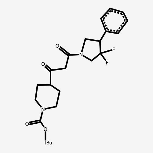 CC(C)(C)OC(=O)N1CCC(C(=O)CC(=O)N2CC(c3ccccc3)C(F)(F)C2)CC1